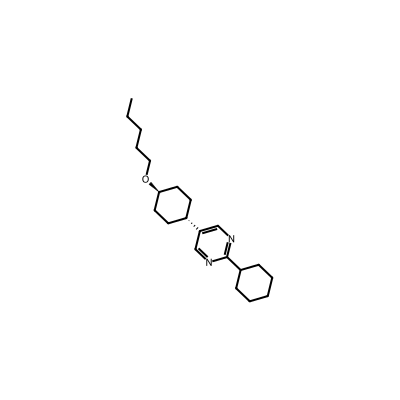 CCCCCO[C@H]1CC[C@H](c2cnc(C3CCCCC3)nc2)CC1